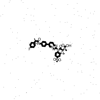 COc1cc(S(C)(=O)=O)ccc1N(C(=O)CN(C)C(=O)O)c1nc2ccc(-c3ccc(NC(=O)[C@H](C)c4ccc(F)cc4)cc3)cn2n1